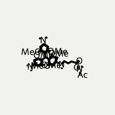 COc1cc(N(C)C)cc(OC)c1C(c1c(OC)cc(N(C)C)cc1OC)c1c(OC)cc(N(C)CCCC(=O)ON(C)C(C)=O)cc1OC